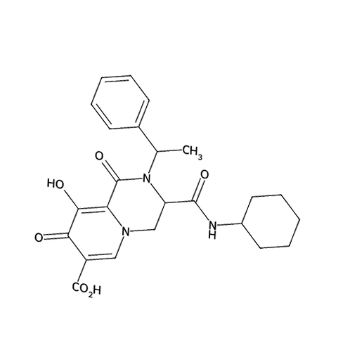 CC(c1ccccc1)N1C(=O)c2c(O)c(=O)c(C(=O)O)cn2CC1C(=O)NC1CCCCC1